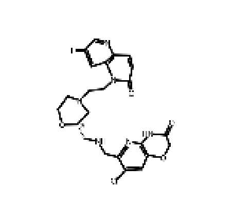 O=C1COc2cc(Cl)c(CNC[C@H]3CN(CCn4c(=O)ccc5ncc(F)cc54)CCO3)nc2N1